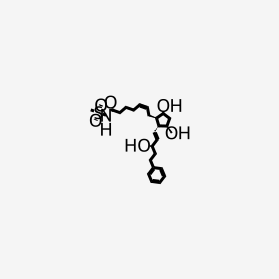 CS(=O)(=O)NC(=O)CCC/C=C\C[C@@H]1[C@@H](/C=C/[C@@H](O)CCc2ccccc2)[C@H](O)C[C@@H]1O